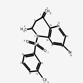 C=C1CC(C)N(S(=O)(=O)c2cccc(C(F)(F)F)c2)c2cc(Br)cnc21